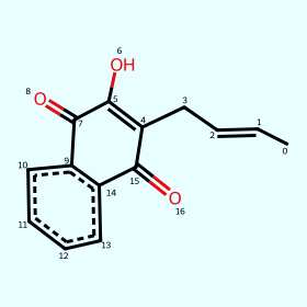 CC=CCC1=C(O)C(=O)c2ccccc2C1=O